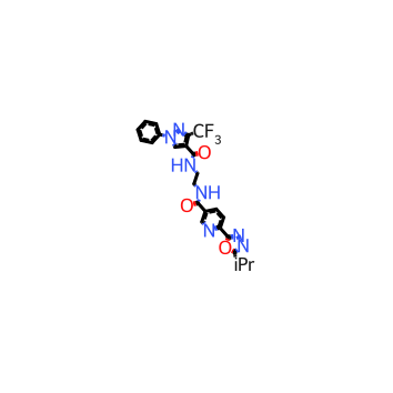 CC(C)c1nnc(-c2ccc(C(=O)NCCNC(=O)c3cn(-c4ccccc4)nc3C(F)(F)F)cn2)o1